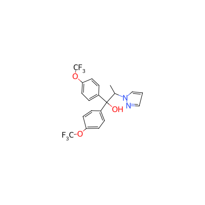 CC(n1cccn1)C(O)(c1ccc(OC(F)(F)F)cc1)c1ccc(OC(F)(F)F)cc1